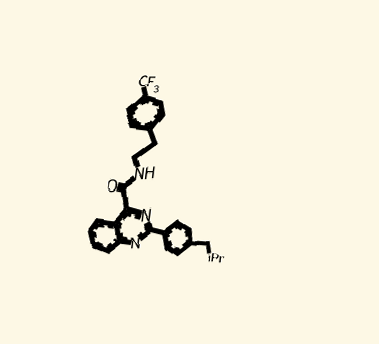 CC(C)Cc1ccc(-c2nc(C(=O)NCCc3ccc(C(F)(F)F)cc3)c3ccccc3n2)cc1